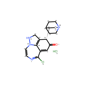 Cl.O=C1C=C2C(Cl)=NC=CN3NCC(=C23)[C@@H]1C1CN2CCC1CC2